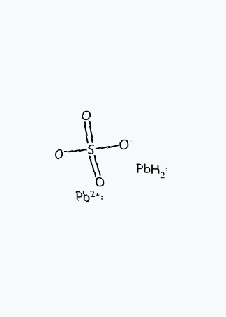 O=S(=O)([O-])[O-].[Pb+2].[PbH2]